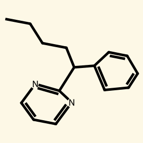 CCCCC(c1ccccc1)c1ncccn1